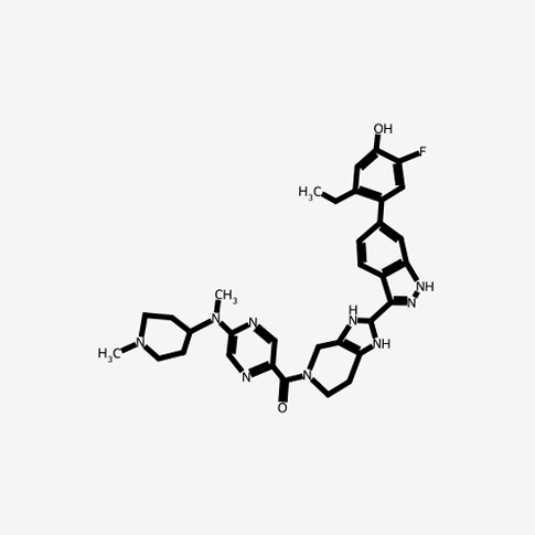 CCc1cc(O)c(F)cc1-c1ccc2c(C3NC4=C(CN(C(=O)c5cnc(N(C)C6CCN(C)CC6)cn5)CC4)N3)n[nH]c2c1